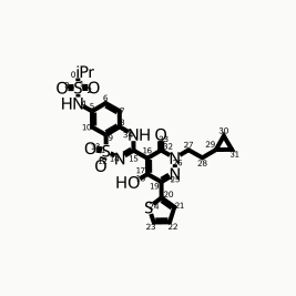 CC(C)S(=O)(=O)Nc1ccc2c(c1)S(=O)(=O)N=C(c1c(O)c(-c3cccs3)nn(CCC3CC3)c1=O)N2